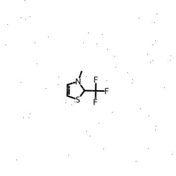 CN1C=CSC1C(F)(F)F